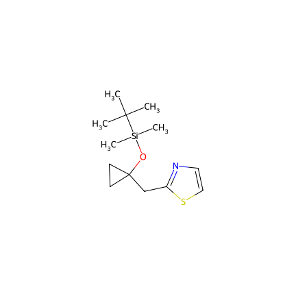 CC(C)(C)[Si](C)(C)OC1(Cc2nccs2)CC1